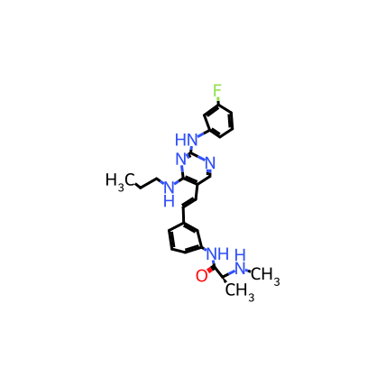 CCCNc1nc(Nc2cccc(F)c2)ncc1/C=C/c1cccc(NC(=O)[C@H](C)NC)c1